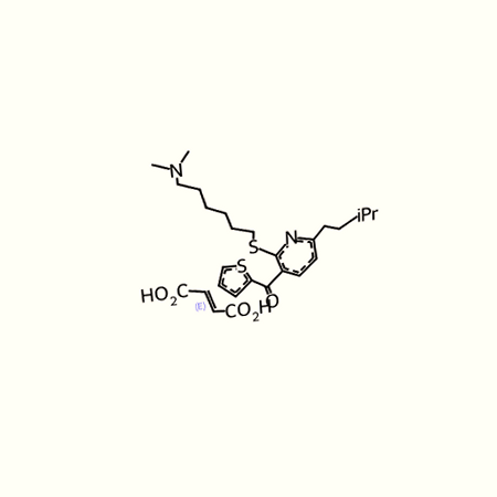 CC(C)CCc1ccc(C(=O)c2cccs2)c(SCCCCCCN(C)C)n1.O=C(O)/C=C/C(=O)O